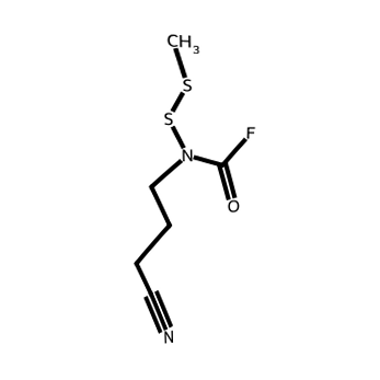 CSSN(CCCC#N)C(=O)F